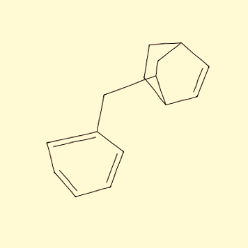 C1=CC2CCC1CC2Cc1ccccc1